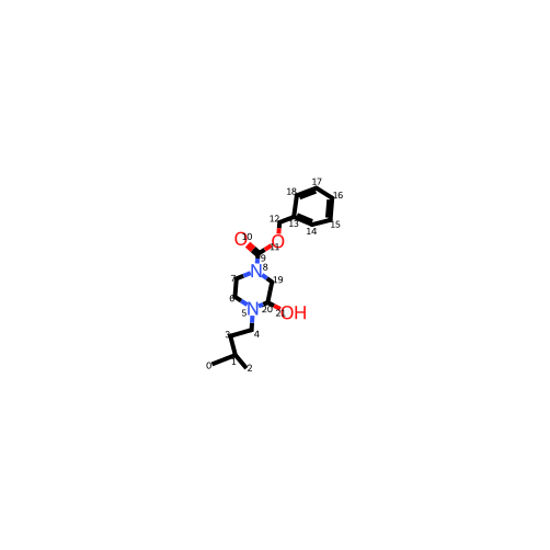 CC(C)CCN1CCN(C(=O)OCc2ccccc2)CC1O